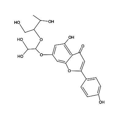 CC(O)C(CO)OC(Oc1cc(O)c2c(=O)cc(-c3ccc(O)cc3)oc2c1)C(O)O